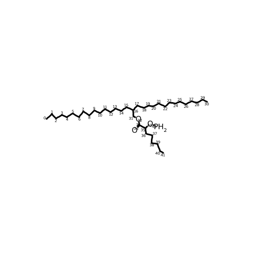 CCCCCCCCCCCCCCCCC(CCCCCCCCCCCCCC)COC(=O)C(CCCCCC)OP